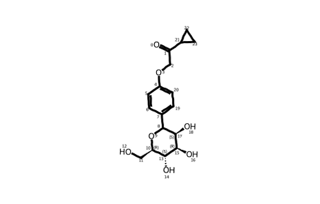 O=C(COc1ccc(C2O[C@H](CO)[C@@H](O)[C@H](O)[C@@H]2O)cc1)C1CC1